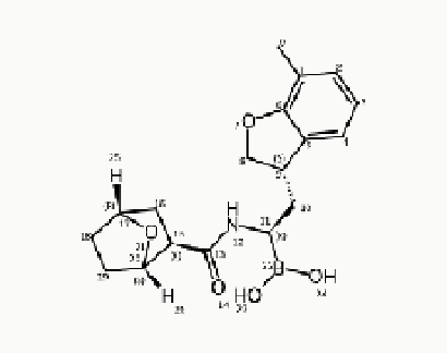 Cc1cccc2c1OC[C@H]2C[C@H](NC(=O)[C@@H]1C[C@H]2CC[C@@H]1O2)B(O)O